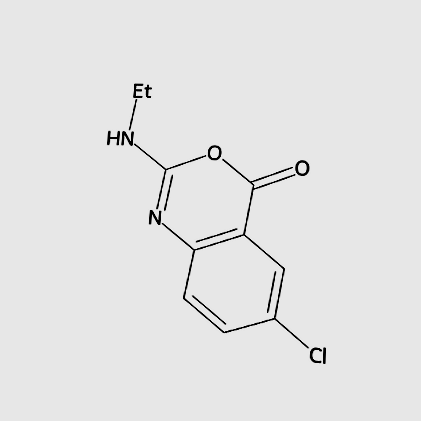 CCNc1nc2ccc(Cl)cc2c(=O)o1